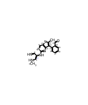 CN/C=C(\C=N)Nc1ncc2sc(C)c(-c3ccccc3C=O)c2n1